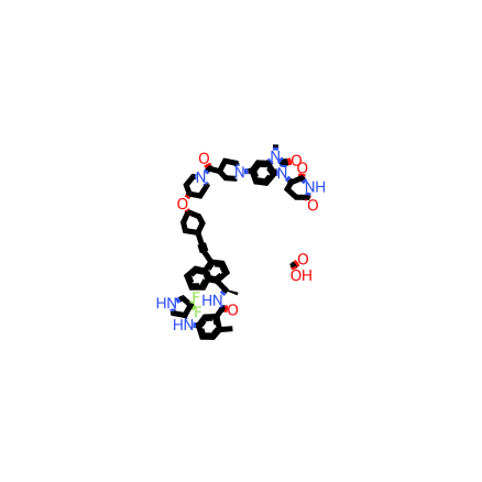 Cc1ccc(N[C@H]2CNCC2(F)F)cc1C(=O)N[C@H](C)c1ccc(C#CC2CCC(OC3CCN(C(=O)C4CCN(c5ccc6c(c5)n(C)c(=O)n6C5CCC(=O)NC5=O)CC4)CC3)CC2)c2ccccc12.O=CO